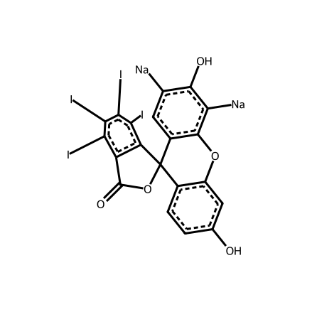 O=C1OC2(c3ccc(O)cc3Oc3c2c[c]([Na])c(O)[c]3[Na])c2c(I)c(I)c(I)c(I)c21